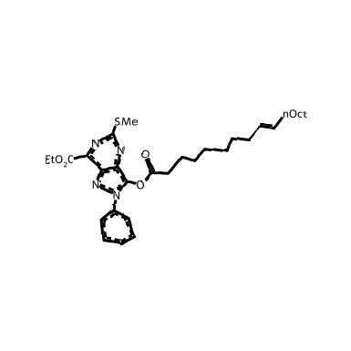 CCCCCCCCC=CCCCCCCCC(=O)Oc1c2nc(SC)nc(C(=O)OCC)c2nn1-c1ccccc1